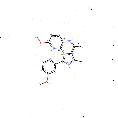 COc1cccc(-c2nc(C)c3c(C)nc4ccc(OC)nc4n23)c1